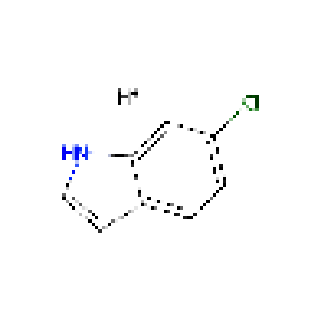 Clc1ccc2cc[nH]c2c1.[H+]